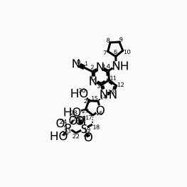 N#Cc1nc(NC2CCCC2)c2cnn([C@@H]3O[C@H](CS(=O)(=O)CP(=O)(O)O)[C@@H](O)[C@H]3O)c2n1